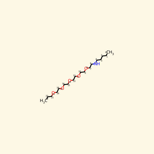 CCCCCNCCOCCOCCOCCOCCOCCC